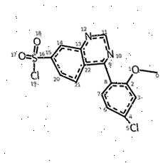 COc1cc(Cl)ccc1-c1ncnc2cc(S(=O)(=O)Cl)ccc12